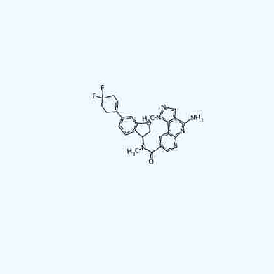 CN(C(=O)c1ccc2nc(N)c3cnn(C)c3c2c1)[C@@H]1COc2cc(C3=CCC(F)(F)CC3)ccc21